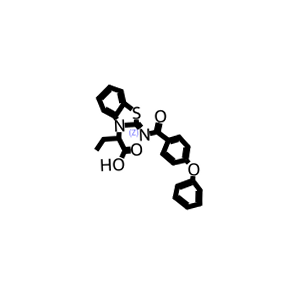 CCC(C(=O)O)n1/c(=N/C(=O)c2ccc(Oc3ccccc3)cc2)sc2ccccc21